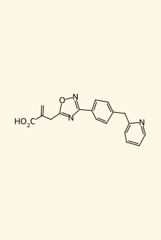 C=C(Cc1nc(-c2ccc(Cc3ccccn3)cc2)no1)C(=O)O